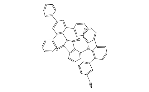 N#Cc1cncc(-c2cccc3c4ccccc4n(-c4cccc5c4C(=O)N(c4c(-c6ccccc6)cc(-c6ccccc6)cc4-c4ccccc4)C5=O)c23)c1